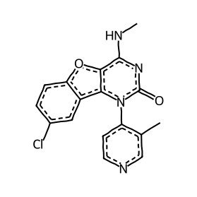 CNc1nc(=O)n(-c2ccncc2C)c2c1oc1ccc(Cl)cc12